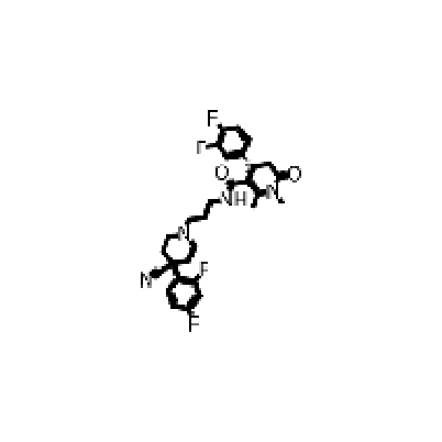 CC1=C(C(=O)NCCCN2CCC(C#N)(c3ccc(F)cc3F)CC2)[C@H](c2ccc(F)c(F)c2)CC(=O)N1C